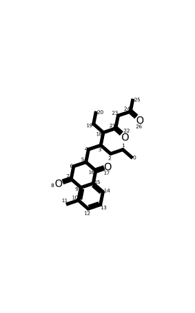 CCCC(CC1CC(=O)c2c(C)cccc2C1=O)C(CC)C(=O)CC(C)=O